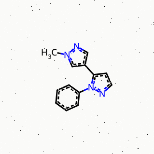 Cn1cc(-c2ccnn2-c2ccccc2)cn1